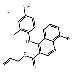 C=CCNC(=O)c1cnc2c(CC)cccc2c1Nc1ccc(OC(C)=O)cc1C.Cl